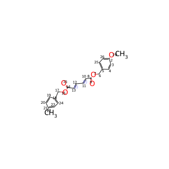 COc1ccc(COC(=O)/C=C/C=C/C(=O)OCc2ccc(C)cc2)cc1